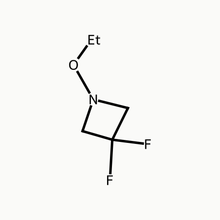 CCON1CC(F)(F)C1